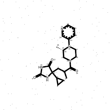 CC(CC1(C2CC2)NC(=O)NC1=O)C(=O)N1CCN(c2cccnc2)[C@@H](C)C1